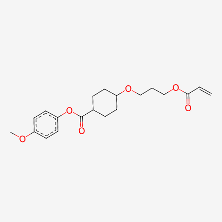 C=CC(=O)OCCCOC1CCC(C(=O)Oc2ccc(OC)cc2)CC1